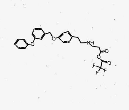 O=C(CCNCCc1ccc(OCc2cccc(Oc3ccccc3)c2)cc1)OC(=O)C(F)(F)F